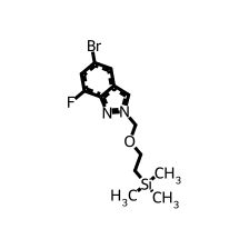 C[Si](C)(C)CCOCn1cc2cc(Br)cc(F)c2n1